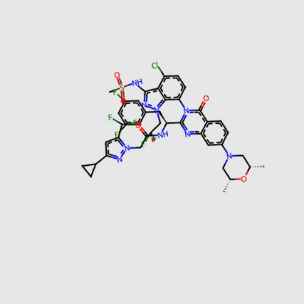 C[C@@H]1CN(c2ccc3c(=O)n(-c4ccc(Cl)c5c(NS(C)(=O)=O)nn(CC(F)(F)F)c45)c([C@H](Cc4cc(F)cc(F)c4)NC(=O)Cn4nc(C5CC5)cc4C(F)F)nc3c2)C[C@H](C)O1